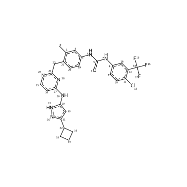 Cc1cc(NC(=O)Nc2ccc(Cl)c(C(F)(F)F)c2)ccc1Cc1nccc(Nc2cc(C3CCC3)n[nH]2)n1